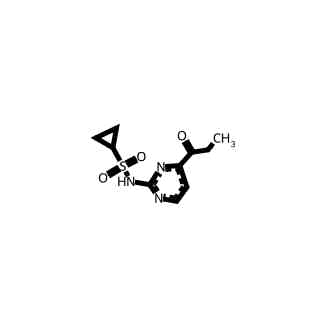 CCC(=O)c1ccnc(NS(=O)(=O)C2CC2)n1